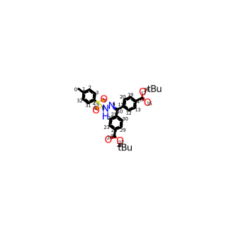 Cc1ccc(S(=O)(=O)NN=C(c2ccc(C(=O)OC(C)(C)C)cc2)c2ccc(C(=O)OC(C)(C)C)cc2)cc1